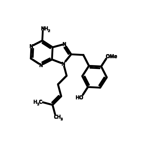 COc1ccc(O)cc1Cc1nc2c(N)ncnc2n1CCC=C(C)C